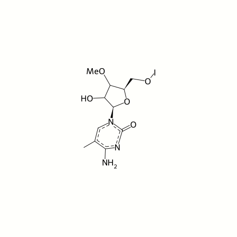 COC1C(O)[C@H](n2cc(C)c(N)nc2=O)O[C@@H]1COI